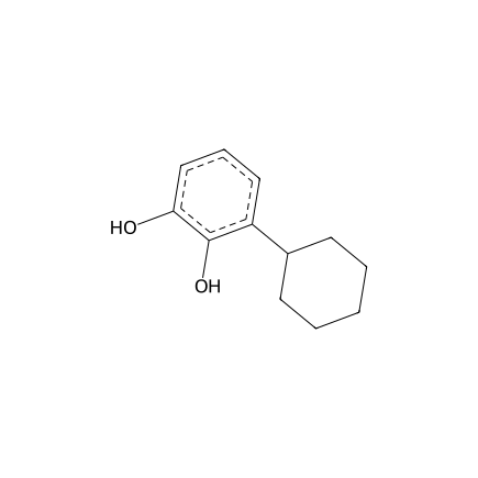 Oc1cccc(C2CCCCC2)c1O